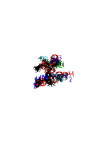 NC(=O)c1cc(NC(C(=O)O[C@H]2CN3CCC2CC3)c2ccccc2)cc(C(=O)O[C@@H](Cc2c(Cl)c[n+]([O-])cc2Cl)c2ccc(OC(F)F)c(OCC3CC3)c2)c1.O=C(O)C(F)(F)F